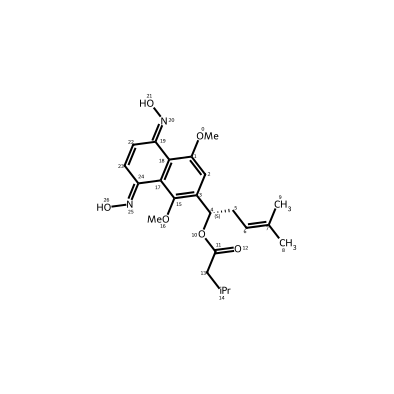 COc1cc([C@H](CC=C(C)C)OC(=O)CC(C)C)c(OC)c2c1C(=NO)C=CC2=NO